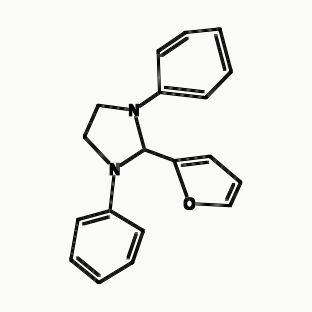 c1ccc(N2CCN(c3ccccc3)C2c2ccco2)cc1